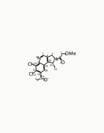 COCC(=O)N1Cc2cnc3c(Cl)c(Cl)c([S+](C)[O-])cc3c2[C@@H]1C